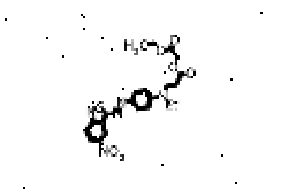 C=COC(=O)COC(=O)CCN(CC)c1ccc(N=Nc2snc3ccc([N+](=O)[O-])cc23)cc1